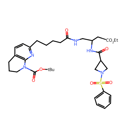 CCOC(=O)CC(CNC(=O)CCCCc1ccc2c(n1)N(C(=O)OC(C)(C)C)CCC2)NC(=O)C1CN(S(=O)(=O)c2ccccc2)C1